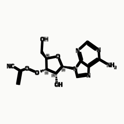 C=C(C#N)OO[C@H]1[C@@H](O)[C@H](n2cnc3c(N)ncnc32)O[C@@H]1CO